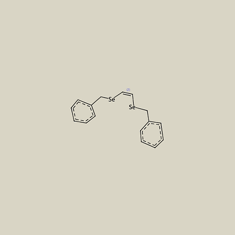 C(=C/[Se]Cc1ccccc1)/[Se]Cc1ccccc1